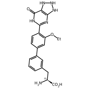 CCOc1cc(-c2cccc(C[C@H](N)C(=O)O)c2)ccc1-c1nc2c(c(=O)[nH]1)NNN2